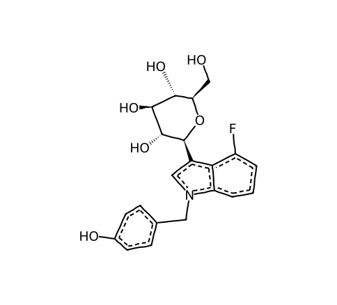 OC[C@H]1O[C@@H](c2cn(Cc3ccc(O)cc3)c3cccc(F)c23)[C@H](O)[C@@H](O)[C@@H]1O